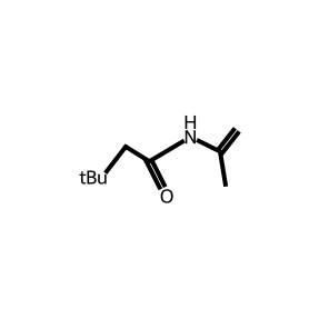 C=C(C)NC(=O)CC(C)(C)C